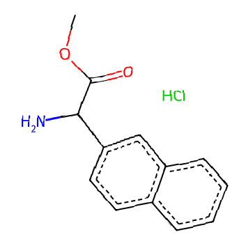 COC(=O)C(N)c1ccc2ccccc2c1.Cl